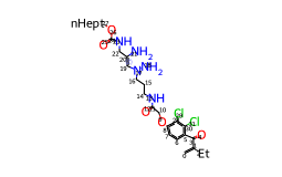 C=C(CC)C(=O)c1ccc(OCC(=O)NCCCN(N)/C=C(\N)CNC(=O)OCCCCCCC)c(Cl)c1Cl